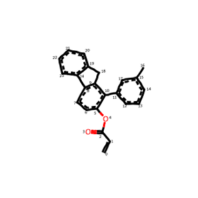 C=CC(=O)Oc1ccc2c(c1-c1cccc(C)c1)Cc1ccccc1-2